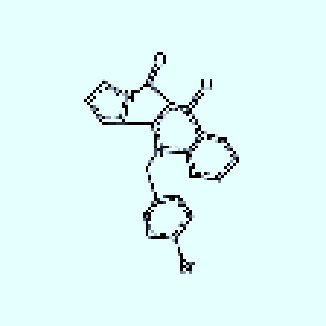 O=C1c2c(n(Cc3ccc(Br)cc3)c3ccccc3c2=O)-c2cccn21